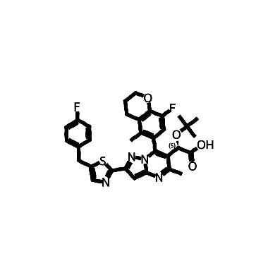 Cc1nc2cc(-c3ncc(Cc4ccc(F)cc4)s3)nn2c(-c2cc(F)c3c(c2C)CCCO3)c1[C@H](OC(C)(C)C)C(=O)O